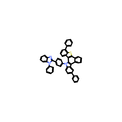 c1ccc(-c2ccc3c(c2)c2c4ccccc4c4sc5c(-c6ccccc6)cccc5c4c2n3-c2ccc(-c3nc4ccccc4n3-c3ccccc3)cc2)cc1